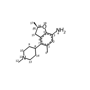 Cc1cc(N)c2c(c1C1CCN(C)CC1)C[C@@H](C)O2